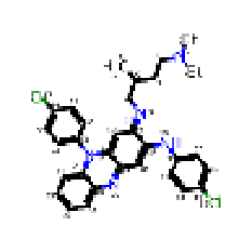 CCN(CC)CCC(C)C/N=c1\cc2n(-c3ccc(Cl)cc3)c3ccccc3nc-2cc1Nc1ccc(Cl)cc1